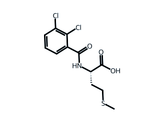 CSCC[C@H](NC(=O)c1cccc(Cl)c1Cl)C(=O)O